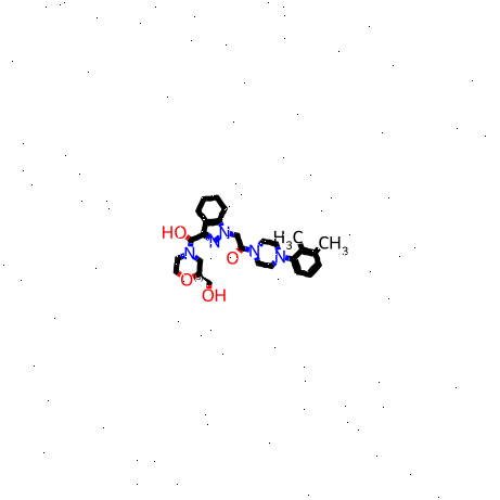 Cc1cccc(N2CCN(C(=O)Cn3nc(C(O)N4CCO[C@H](CO)C4)c4c3CCCC4)CC2)c1C